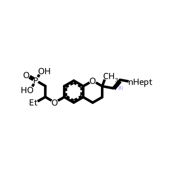 CCCCCCC/C=C/C1(C)CCc2cc(OC(CC)CP(=O)(O)O)ccc2O1